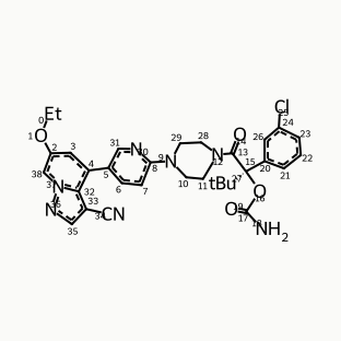 CCOc1cc(-c2ccc(N3CCN(C(=O)[C@](OC(N)=O)(c4cccc(Cl)c4)C(C)(C)C)CC3)nc2)c2c(C#N)cnn2c1